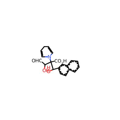 O=CC(O)C(C(=O)O)(C(O)c1ccc2ccccc2c1)N1C=CCC=C1